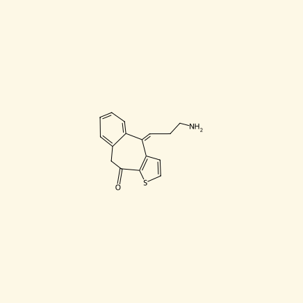 NCCC=C1c2ccccc2CC(=O)c2sccc21